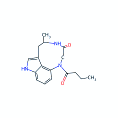 CCCC(=O)N1CC(=O)NC(C)Cc2c[nH]c3cccc1c23